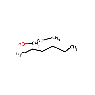 CC#N.CCCCCC.CO